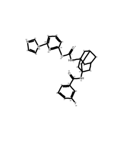 O=C(NC12CC3CC(C1)CC(NC(=O)c1cccc(F)c1)(C3)C2)Oc1cccc(-n2ccnc2)n1